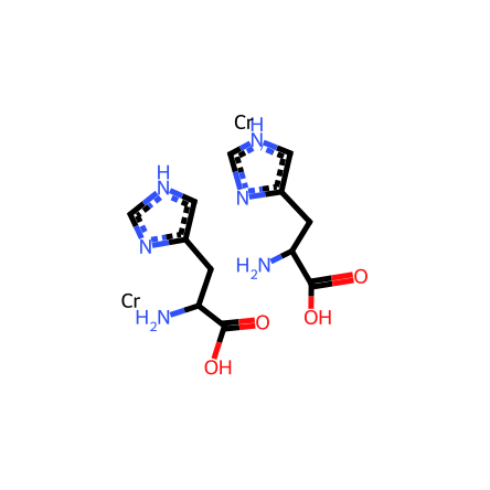 NC(Cc1c[nH]cn1)C(=O)O.NC(Cc1c[nH]cn1)C(=O)O.[Cr].[Cr]